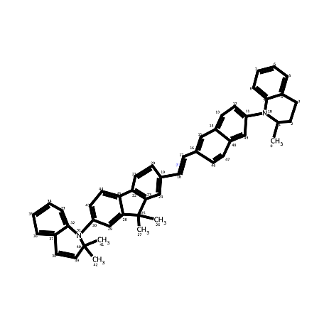 CC1CCc2ccccc2N1c1ccc2cc(/C=C/c3ccc4c(c3)C(C)(C)c3cc(N5c6ccccc6C=CC5(C)C)ccc3-4)ccc2c1